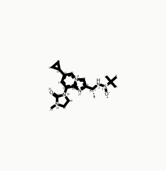 C[C@@H](N[S+]([O-])C(C)(C)C)c1cn2cc(C3CC3)cc(N3CCN(C)C3=O)c2n1